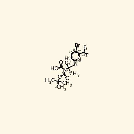 CC(C)(C)OC(=O)N(C(=O)O)C(C)(C)Cc1ccc(Br)c(C(F)F)n1